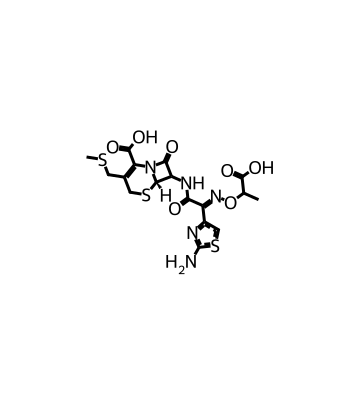 CSCC1=C(C(=O)O)N2C(=O)C(NC(=O)C(=NOC(C)C(=O)O)c3csc(N)n3)[C@@H]2SC1